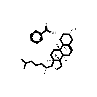 CC(C)CCC[C@@H](C)[C@H]1CC[C@H]2[C@@H]3CC=C4C[C@@H](S)CC[C@]4(C)[C@H]3CC[C@]12C.O=C(O)c1ccccc1